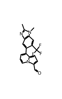 Cc1nc2cc(-c3cccn4c(C=O)ccc34)c(C(F)(F)F)cc2n1C